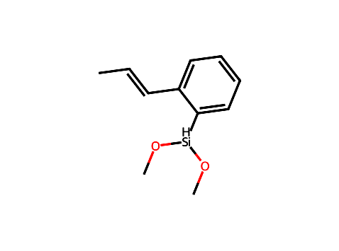 CC=Cc1ccccc1[SiH](OC)OC